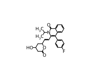 CC(C)n1c(C=CC2CC(O)CC(=O)O2)c(-c2ccc(F)cc2)c2ccccc2c1=O